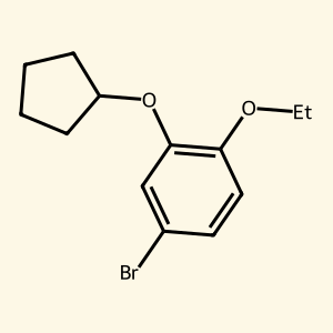 CCOc1ccc(Br)cc1OC1CCCC1